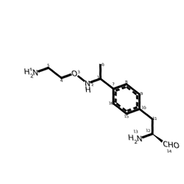 CC(NOCCN)c1ccc(C[C@H](N)C=O)cc1